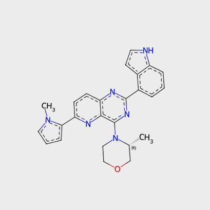 C[C@@H]1COCCN1c1nc(-c2cccc3[nH]ccc23)nc2ccc(-c3cccn3C)nc12